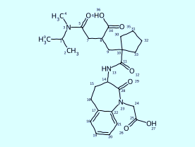 CC(C)N(C)C(=O)CC(CC1(C(=O)NC2CCc3ccccc3N(CC(=O)O)C2=O)CCCC1)C(=O)O